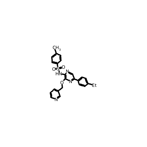 CCc1ccc(-c2cnc(NS(=O)(=O)c3ccc(C)cc3)c(OCc3cccnc3)n2)cc1